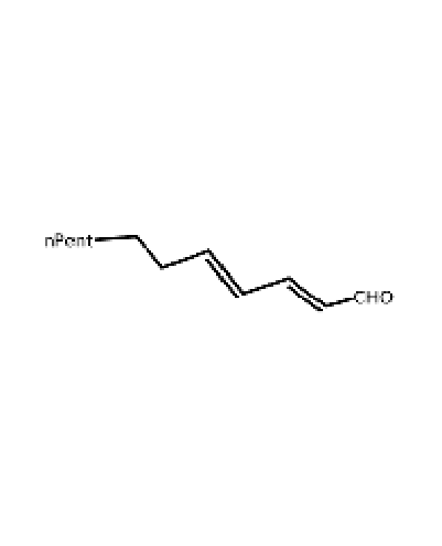 CCCCCCCC=CC=C[C]=O